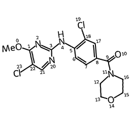 COc1nc(Nc2ccc(C(=O)N3CCOCC3)cc2Cl)ncc1Cl